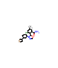 NC(=O)c1cc(C(F)(F)F)cc(F)c1C1OC=NN1c1cccc(-c2ccsc2)c1